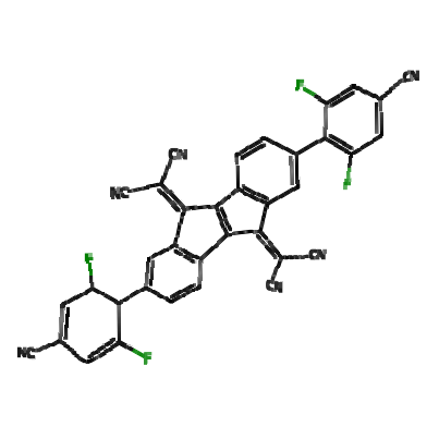 N#CC1=CC(F)C(c2ccc3c(c2)C(=C(C#N)C#N)C2=C3C(=C(C#N)C#N)c3cc(-c4c(F)cc(C#N)cc4F)ccc32)C(F)=C1